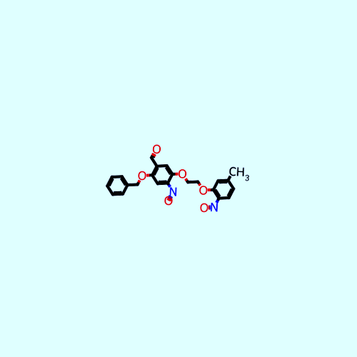 Cc1ccc(N=O)c(OCCOc2cc(C=O)c(OCc3ccccc3)cc2N=O)c1